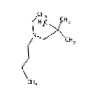 CCCCN(CC)CC(C)(C)C